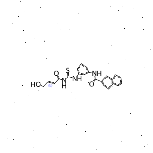 O=C(/C=C/CO)NC(=S)Nc1cccc(NC(=O)c2ccc3ccccc3c2)c1